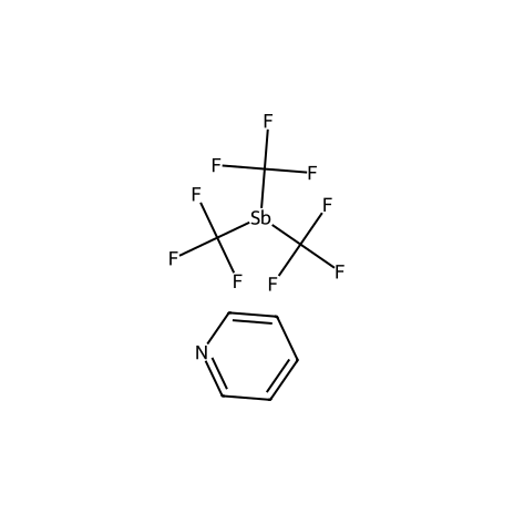 F[C](F)(F)[Sb]([C](F)(F)F)[C](F)(F)F.c1ccncc1